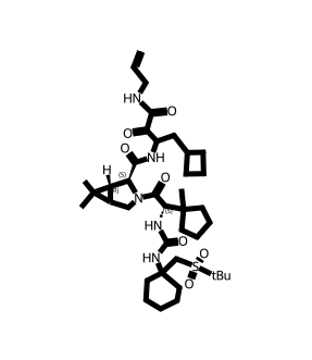 C=CCNC(=O)C(=O)C(CC1CCC1)NC(=O)[C@@H]1[C@@H]2C(CN1C(=O)[C@@H](NC(=O)NC1(CS(=O)(=O)C(C)(C)C)CCCCC1)C1(C)CCCC1)C2(C)C